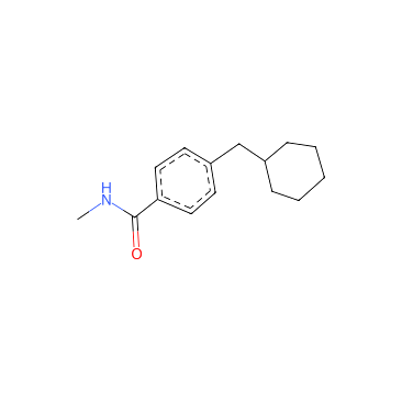 CNC(=O)c1ccc(CC2CCCCC2)cc1